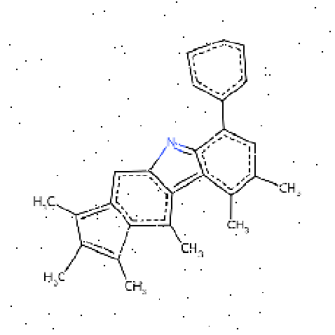 CC1=C(C)c2c(C)c3c(cc2=C1C)N=c1c(-c2ccccc2)cc(C)c(C)c1=3